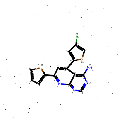 Nc1ncnc2nc(-c3cccs3)cc(-c3cc(Br)cs3)c12